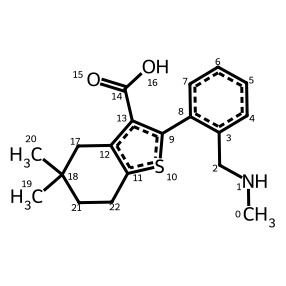 CNCc1ccccc1-c1sc2c(c1C(=O)O)CC(C)(C)CC2